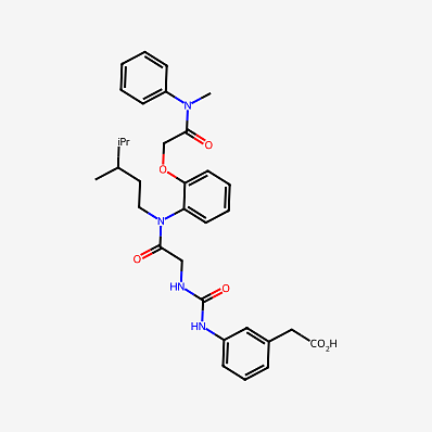 CC(C)C(C)CCN(C(=O)CNC(=O)Nc1cccc(CC(=O)O)c1)c1ccccc1OCC(=O)N(C)c1ccccc1